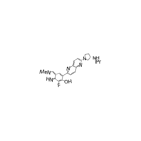 CN/C=C1/C=C(c2ccc3nc(N4CC[C@H](NC(C)C)C4)ccc3n2)C(O)=C(F)C1=N